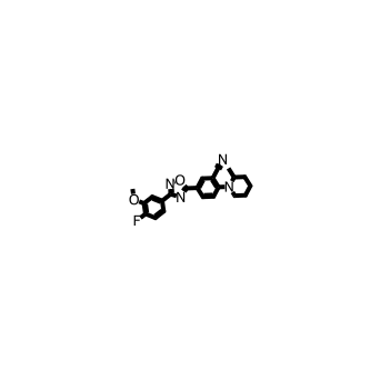 COc1cc(-c2noc(-c3ccc(N4CCCCC4C)c(C#N)c3)n2)ccc1F